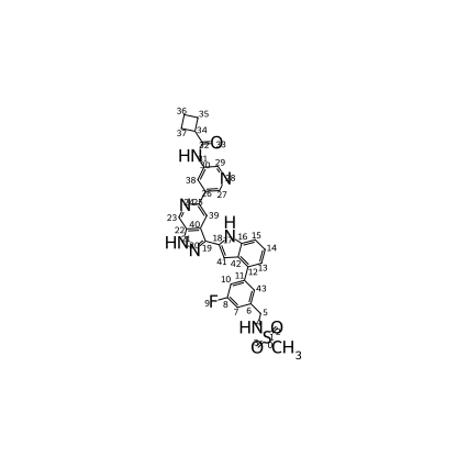 CS(=O)(=O)NCc1cc(F)cc(-c2cccc3[nH]c(-c4n[nH]c5cnc(-c6cncc(NC(=O)C7CCC7)c6)cc45)cc23)c1